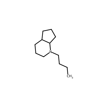 CCCCN1CCCC2CCCC21